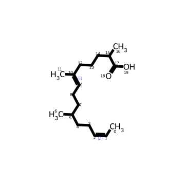 C/C=C\CCC(C)CC/C=C(\C)CCCC(C)C(=O)O